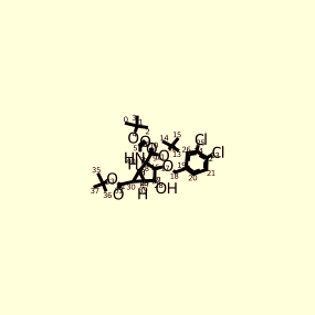 CC(C)(C)OC(=O)N[C@@]1(C(=O)OC(C)(C)C)C(OCc2ccc(Cl)c(Cl)c2)[C@H](O)[C@H]2C(C(=O)OC(C)(C)C)[C@H]21